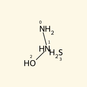 NNO.S